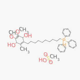 COC1=C(OC)C(O)C(CCCCCCCCCC[PH](c2ccccc2)(c2ccccc2)c2ccccc2)=C(C)C1O.CS(=O)(=O)O